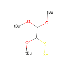 CC(C)(C)OC(OC(C)(C)C)C(OC(C)(C)C)SS